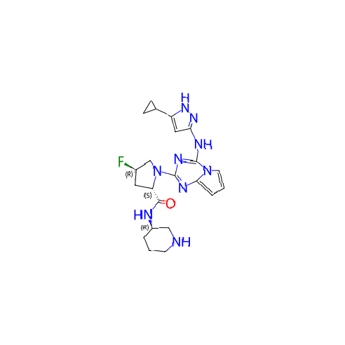 O=C(N[C@@H]1CCCNC1)[C@@H]1C[C@@H](F)CN1c1nc(Nc2cc(C3CC3)[nH]n2)n2cccc2n1